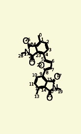 Cc1ccc(-c2ccc(-c3ccc(C)c4c3C(=O)N(C)C4=O)o2)c2c1C(=O)N(C)C2=O